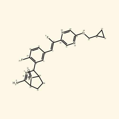 NC1=NC(c2cc(/C=C(\F)c3cnc(OCC4CC4)cn3)ccc2F)C2CCC1S2(=O)=O